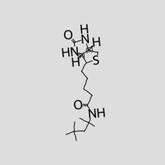 CC(C)(C)CC(C)(C)NC(=O)CCCCC1SC[C@H]2NC(=O)N[C@@H]12